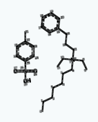 CCCCCCC[N+](CC)(CC)CCCc1ccccc1.Cc1ccc(S(=O)(=O)O)cc1